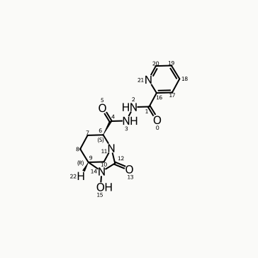 O=C(NNC(=O)[C@@H]1CC[C@@H]2CN1C(=O)N2O)c1ccccn1